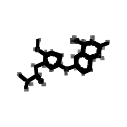 COc1ccc(Oc2ccc3nc(C)nc(O)c3c2)cc1CC(=O)N(C)C